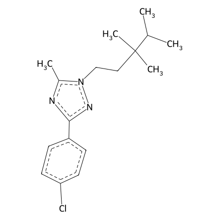 Cc1nc(-c2ccc(Cl)cc2)nn1CCC(C)(C)C(C)C